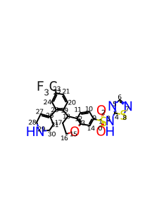 O=S(=O)(Nc1ncns1)c1ccc2c(c1)OCCC2c1ccc(C(F)(F)F)cc1C1=CCNCC1